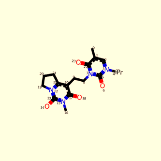 Cc1cn(C(C)C)c(=O)n(CCc2c3n(c(=O)n(C)c2=O)CCC3)c1=O